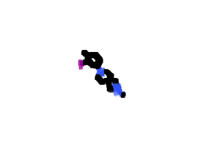 Cc1ccc(N2CCC3(CC2)CN(C)C3)cc1I